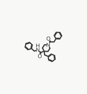 O=C(Cc1ccccc1)N1CCC(Cc2ccccc2)(C(=O)NCc2ccccc2)CC1